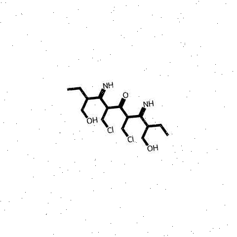 CCC(CO)C(=N)C(CCl)C(=O)C(CCl)C(=N)C(CC)CO